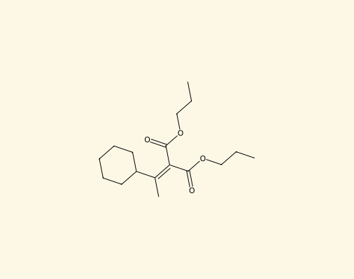 CCCOC(=O)C(C(=O)OCCC)=C(C)C1CCCCC1